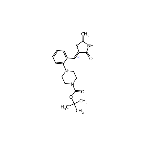 C=c1[nH]c(=O)/c(=C/c2ccccc2N2CCN(C(=O)OC(C)(C)C)CC2)s1